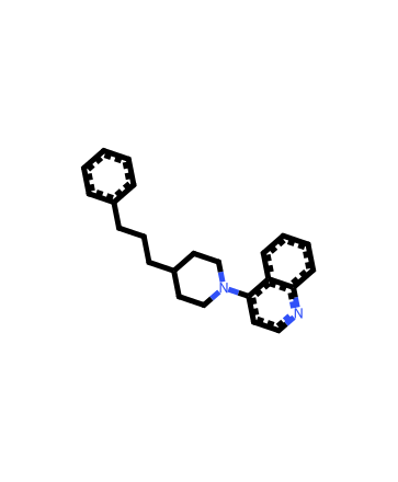 c1ccc(CCCC2CCN(c3ccnc4ccccc34)CC2)cc1